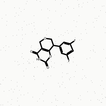 O=c1[nH]c(=O)c2c(o1)C(c1cc(F)cc(F)c1)COC2